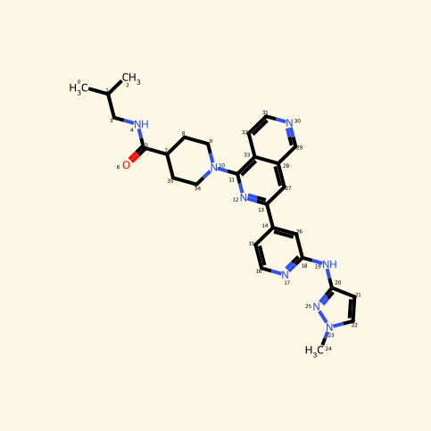 CC(C)CNC(=O)C1CCN(c2nc(-c3ccnc(Nc4ccn(C)n4)c3)cc3cnccc23)CC1